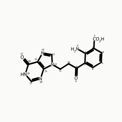 Nc1c(C(=O)O)cccc1C(=O)CCn1cnc2c(=O)[nH]cnc21